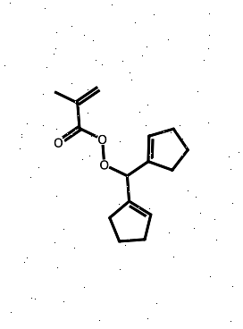 C=C(C)C(=O)OOC(C1=CCCC1)C1=CCCC1